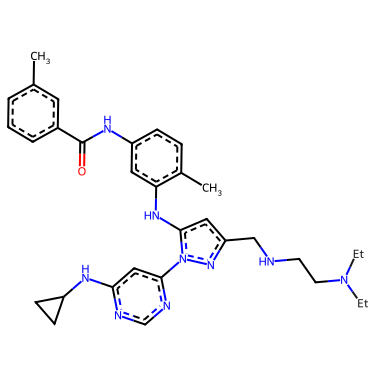 CCN(CC)CCNCc1cc(Nc2cc(NC(=O)c3cccc(C)c3)ccc2C)n(-c2cc(NC3CC3)ncn2)n1